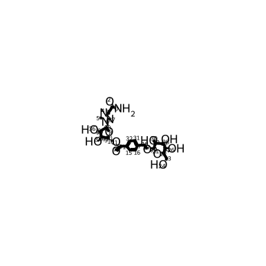 NC(=O)c1ncn([C@@H]2O[C@H](COC(=O)c3ccc(CO[C@@H]4OC(CO)[C@H](O)C(O)C4O)cc3)[C@@H](O)[C@H]2O)n1